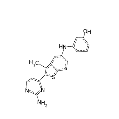 Cc1c(-c2ccnc(N)n2)sc2ccc(Nc3cccc(O)c3)cc12